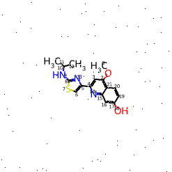 COc1cc(-c2csc(NC(C)C)n2)nc2cc(O)ccc12